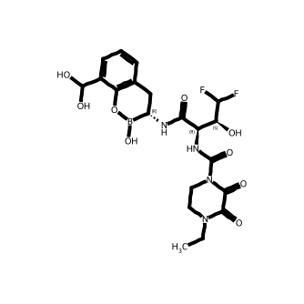 CCN1CCN(C(=O)N[C@@H](C(=O)N[C@H]2Cc3cccc(C(O)O)c3OB2O)[C@H](O)C(F)F)C(=O)C1=O